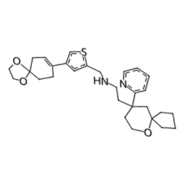 C1=C(c2csc(CNCCC3(c4ccccn4)CCOC4(CCCC4)C3)c2)CCC2(C1)OCCO2